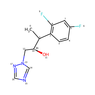 C[C](c1ccc(F)cc1F)[C@@H](O)Cn1cncn1